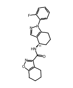 O=C(N[C@@H]1CCCc2c1cnn2-c1ccccc1F)c1noc2c1CCCC2